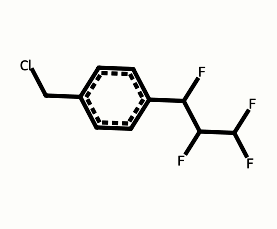 FC(F)C(F)C(F)c1ccc(CCl)cc1